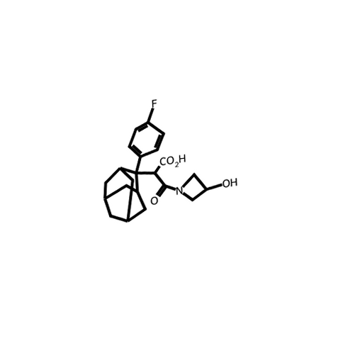 O=C(O)C(C(=O)N1CC(O)C1)C1(c2ccc(F)cc2)C2CC3CC(C2)CC1C3